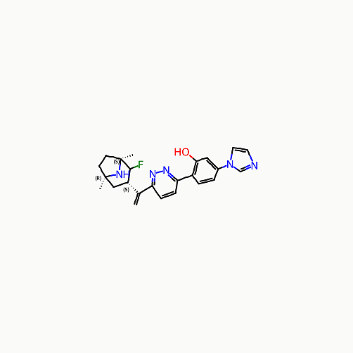 C=C(c1ccc(-c2ccc(-n3ccnc3)cc2O)nn1)[C@@H]1C[C@@]2(C)CC[C@](C)(N2)C1F